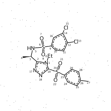 CCn1c([C@@H](C)NS(=O)(=O)c2ccc(Cl)c(Cl)c2)nnc1S(=O)(=O)c1ccc(C)cc1